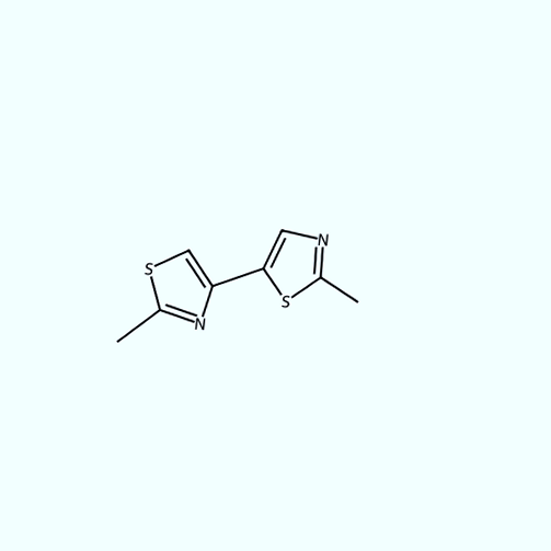 Cc1nc(-c2cnc(C)s2)cs1